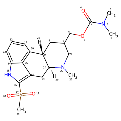 CN(C)C(=O)OCC1C[C@H]2c3cccc4[nH]c(S(C)(=O)=O)c(c34)C[C@@H]2N(C)C1